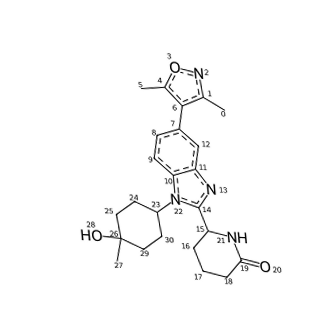 Cc1noc(C)c1-c1ccc2c(c1)nc(C1CCCC(=O)N1)n2C1CCC(C)(O)CC1